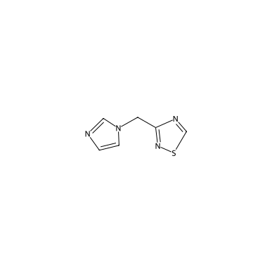 c1cn(Cc2ncsn2)cn1